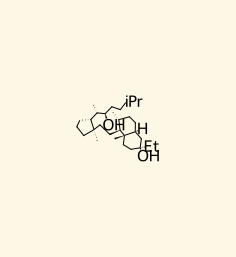 CC[C@]1(O)CC[C@@]2(C)[C@@H](CC[C@@H](C)[C@@H]2CC[C@@]2(C)CCC[C@@H]2[C@H](C)[C@H](O)CCC(C)C)C1